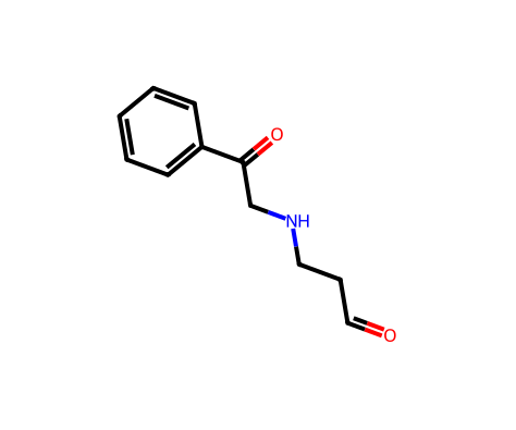 O=CCCNCC(=O)c1ccccc1